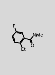 CCc1ccc(F)cc1C(=O)NC